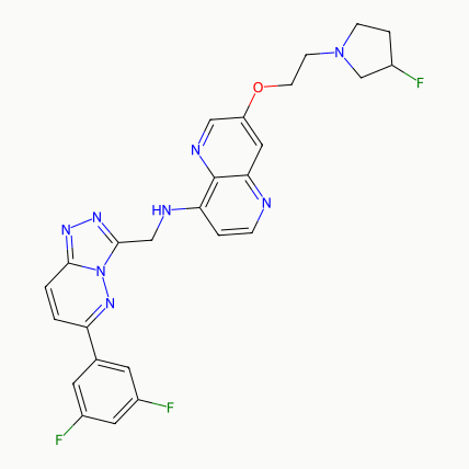 Fc1cc(F)cc(-c2ccc3nnc(CNc4ccnc5cc(OCCN6CCC(F)C6)cnc45)n3n2)c1